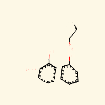 O.O=S(=O)(O)CCO.Oc1ccccc1.Oc1ccccc1